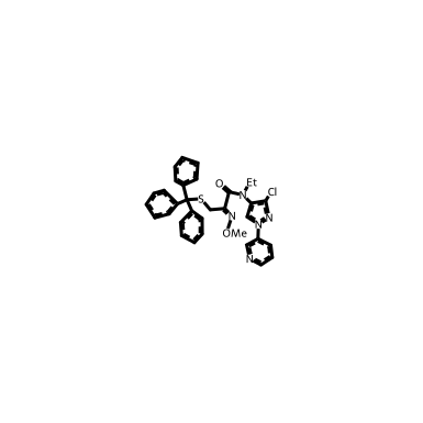 CCN(C(=O)/C(CSC(c1ccccc1)(c1ccccc1)c1ccccc1)=N/OC)c1cn(-c2cccnc2)nc1Cl